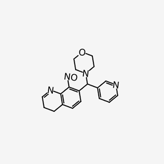 O=Nc1c(C(c2cccnc2)N2CCOCC2)ccc2c1N=CCC2